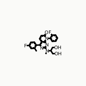 Cc1cc(F)ccc1-c1nc(N(C)C(CO)CO)nc2c1ccc(=O)n2-c1ccccc1F